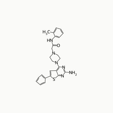 Cc1ccccc1NC(=O)CN1CCN(c2nc(N)nc3sc(-c4ccccc4)cc23)CC1